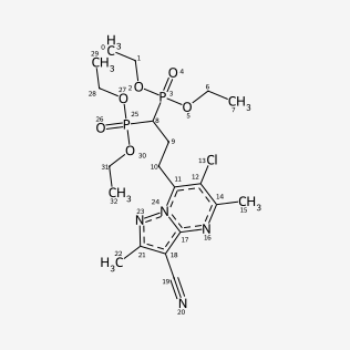 CCOP(=O)(OCC)C(CCc1c(Cl)c(C)nc2c(C#N)c(C)nn12)P(=O)(OCC)OCC